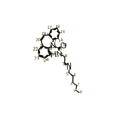 CCCCCCN=CCNC(=O)N1c2ccccc2C=Cc2ccccc21